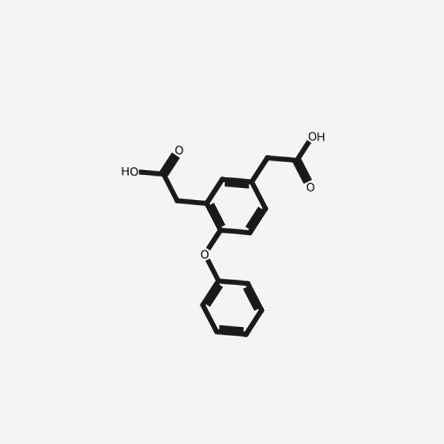 O=C(O)Cc1ccc(Oc2ccccc2)c(CC(=O)O)c1